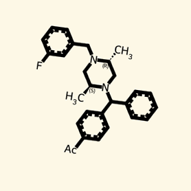 CC(=O)c1ccc(C(c2ccccc2)N2C[C@@H](C)N(Cc3cccc(F)c3)C[C@@H]2C)cc1